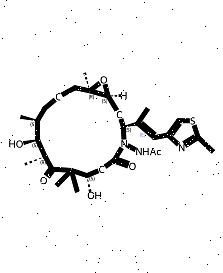 CC(=O)NN1C(=O)C[C@H](O)C(C)(C)C(=O)[C@H](C)[C@@H](O)[C@@H](C)CCC[C@@]2(C)O[C@H]2C[C@H]1/C(C)=C/c1csc(C)n1